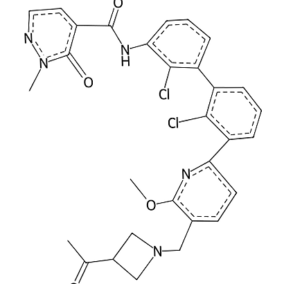 COc1nc(-c2cccc(-c3cccc(NC(=O)c4ccnn(C)c4=O)c3Cl)c2Cl)ccc1CN1CC(C(C)=O)C1